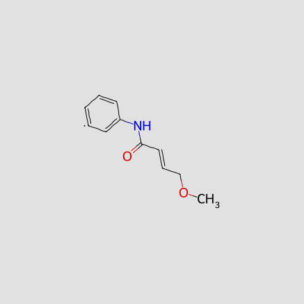 COCC=CC(=O)Nc1c[c]ccc1